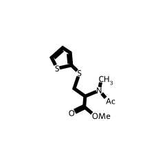 COC(=O)C(CSc1cccs1)N(C)C(C)=O